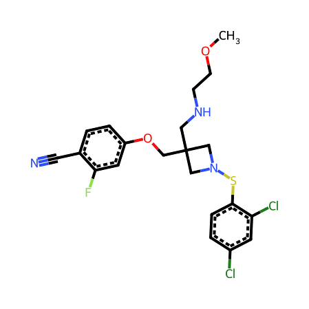 COCCNCC1(COc2ccc(C#N)c(F)c2)CN(Sc2ccc(Cl)cc2Cl)C1